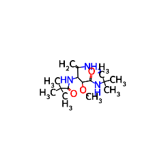 C=C(N)C(NC(=O)C(C)(C)C)C(OC)C(=O)NC(C)(C)C